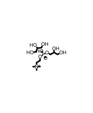 C[N+](C)(C)CCOP(=O)(O)OCC(O)CO.OCC(O)CO